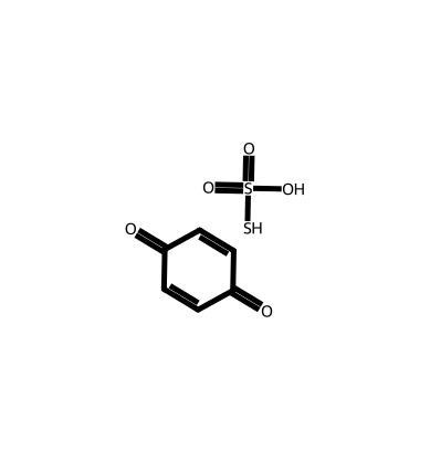 O=C1C=CC(=O)C=C1.O=S(=O)(O)S